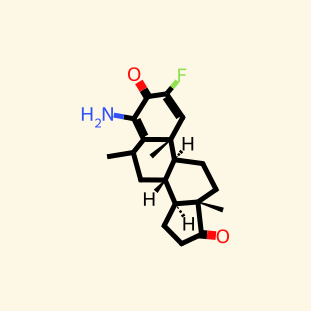 CC1C[C@@H]2[C@H](CC[C@]3(C)C(=O)CC[C@@H]23)[C@@]2(C)C=C(F)C(=O)C(N)=C12